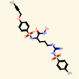 CC#CCOc1ccc(S(=O)(=O)NC(CCCNC(=N)NS(=O)(=O)c2ccc(C)cc2)C(=O)NO)cc1